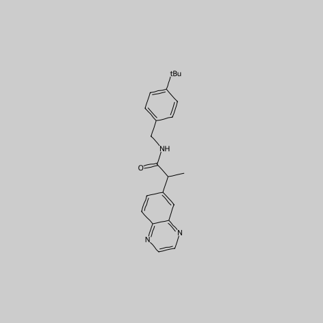 CC(C(=O)NCc1ccc(C(C)(C)C)cc1)c1ccc2nccnc2c1